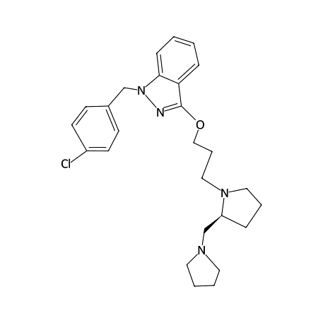 Clc1ccc(Cn2nc(OCCCN3CCC[C@H]3CN3CCCC3)c3ccccc32)cc1